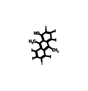 Cc1c2c(O)c(I)c(I)c(I)c2c(C)c2c(I)c(I)c(I)c(I)c12